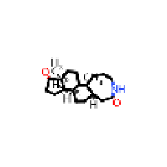 C[C@]12CCC3[C@@H](CC[C@H]4CC(=O)NCCC[C@]34C)[C@@H]1CCC2=O